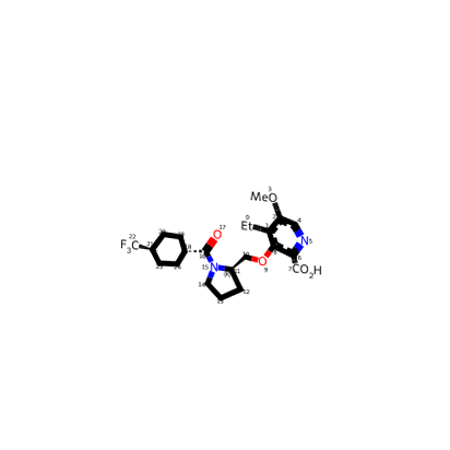 CCc1c(OC)cnc(C(=O)O)c1OC[C@H]1CCCN1C(=O)[C@H]1CC[C@H](C(F)(F)F)CC1